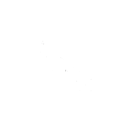 CC[C@@H](CN1CCCC(CN)C1)C(=N)C(=O)OC(C)(C)C